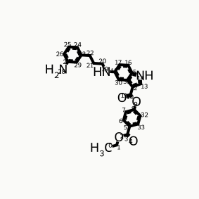 CCOC(=O)c1ccc(OC(=O)c2c[nH]c3ccc(NCCCc4cccc(N)c4)cc23)cc1